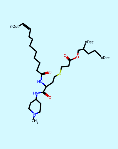 CCCCCCCC/C=C\CCCCCCCC(=O)NC(CCSCCC(=O)OCC(CCCCCCCCCC)CCCCCCCCCCCC)C(=O)NC1CCN(C)CC1